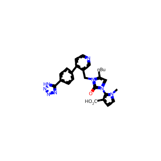 CCCCc1cn(-c2c(C(=O)O)ccn2C)c(=O)n1Cc1cnccc1-c1ccc(-c2nnn[nH]2)cc1